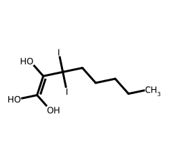 CCCCCC(I)(I)C(O)=C(O)O